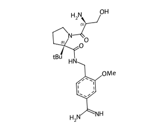 COc1cc(C(=N)N)ccc1CNC(=O)[C@]1(C(C)(C)C)CCCN1C(=O)[C@@H](N)CO